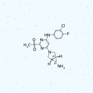 CS(=O)(=O)c1nc(Nc2ccc(F)c(Cl)c2)cc(N2C[C@@H]3[C@H](N)[C@@H]3C2)n1